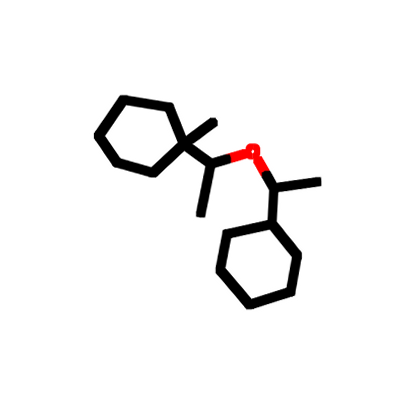 CC(OC(C)C1(C)CCCCC1)C1CCCCC1